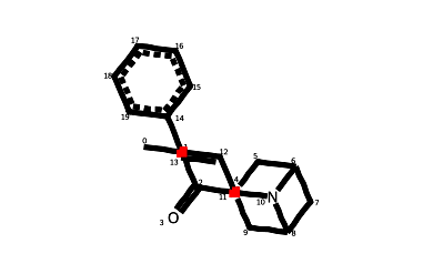 CCC(=O)N1CC2CC(C1)N2CC=Cc1ccccc1